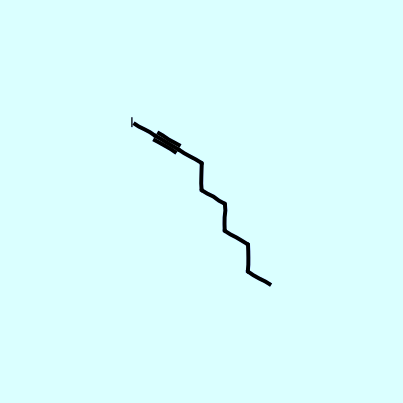 CCCCCCCC#CI